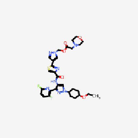 CCOC1CCC(n2cc(NC(=O)c3csc(-c4cnn(COC(=O)CN5CCOCC5)c4)n3)c(-c3nc(F)ccc3F)n2)CC1